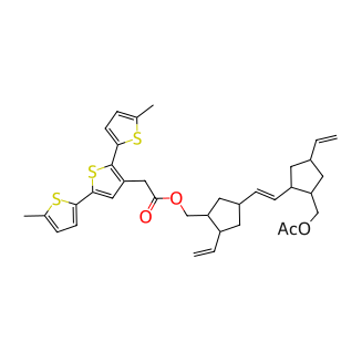 C=CC1CC(/C=C/C2CC(C=C)C(COC(=O)Cc3cc(-c4ccc(C)s4)sc3-c3ccc(C)s3)C2)C(COC(C)=O)C1